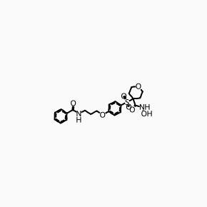 O=C(NCCCOc1ccc(S(=O)(=O)C2(C(=O)NO)CCOCC2)cc1)c1ccccc1